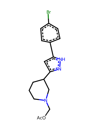 CC(=O)OCN1CCCC(c2cc(-c3ccc(Br)cc3)[nH]n2)C1